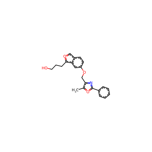 Cc1oc(-c2ccccc2)nc1COc1ccc2coc(CCCO)c2c1